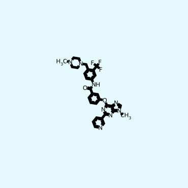 CN1CCN(Cc2ccc(NC(=O)c3cccc(Oc4nc(-c5cccnc5)nc5c4ncn5C)c3)cc2C(F)(F)F)CC1